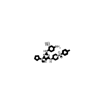 Cc1ccc(S(=O)(=O)N2CCC(Nc3nc(NC4CCC(N)CC4)nc4c3ncn4C3CCCC3)CC2)cc1.Cl.Cl